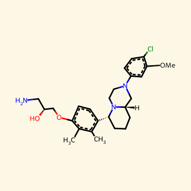 COc1cc(N2CCN3[C@@H](CCC[C@@H]3c3ccc(OC[C@@H](O)CN)c(C)c3C)C2)ccc1Cl